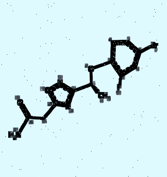 C[C@H](Oc1ccc(Br)cc1F)c1noc(CC(N)=O)n1